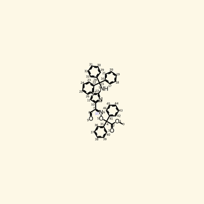 COC(=O)C(O/N=C(\[C]=O)c1csc(NC(c2ccccc2)(c2ccccc2)c2ccccc2)n1)(c1ccccc1)c1ccccc1